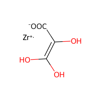 O=C([O-])C(O)=C(O)O.[Zr+]